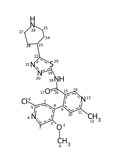 COc1cnc(Cl)cc1-c1cc(C)ncc1C(=O)Nc1nnc(C2CCNCC2)s1